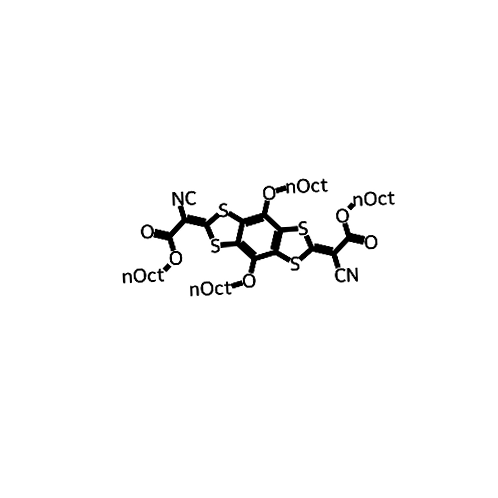 [C-]#[N+]C(C(=O)OCCCCCCCC)=C1Sc2c(OCCCCCCCC)c3c(c(OCCCCCCCC)c2S1)SC(=C(C#N)C(=O)OCCCCCCCC)S3